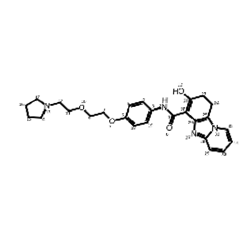 O=C(Nc1ccc(OCCOCCN2CCCC2)cc1)C1=C(O)CCc2c1nc1ccccn21